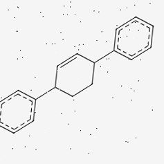 C1=CC(c2ccccc2)CCC1c1ccccc1